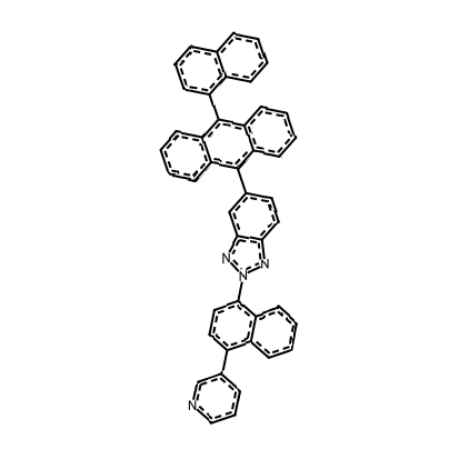 c1cncc(-c2ccc(-n3nc4ccc(-c5c6ccccc6c(-c6cccc7ccccc67)c6ccccc56)cc4n3)c3ccccc23)c1